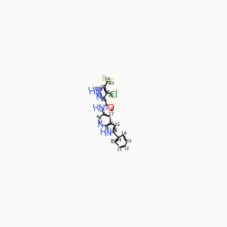 O=C(Nc1cnc2[nH]c(-c3ccccc3)cc2c1)c1n[nH]c(C(F)F)c1Cl